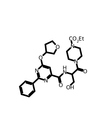 CCOC(=O)N1CCN(C(=O)C(CO)NC(=O)c2cc(OC3CCOC3)nc(-c3ccccc3)n2)CC1